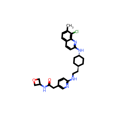 Cc1ccc2ccc(N[C@H]3CC[C@H](CCNc4ccc(CC(=O)NC5COC5)cn4)CC3)nc2c1Cl